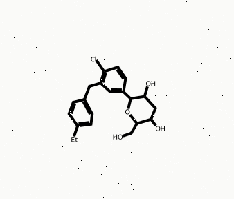 CCc1ccc(Cc2cc(C3OC(CO)C(O)CC3O)ccc2Cl)cc1